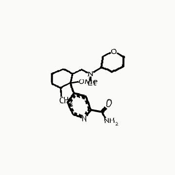 CCN(CC1CCCC(C)C1(OC)c1ccnc(C(N)=O)c1)C1CCCOC1